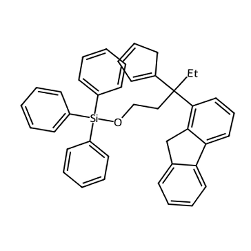 CCC(CCO[Si](c1ccccc1)(c1ccccc1)c1ccccc1)(C1=CC=CC1)c1cccc2c1Cc1ccccc1-2